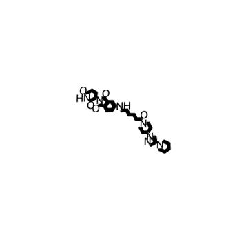 O=C1CCC(N2C(=O)c3ccc(NCCCCCC(=O)N4CCC(n5cc(N6CCCCC6)cn5)CC4)cc3C2=O)C(=O)N1